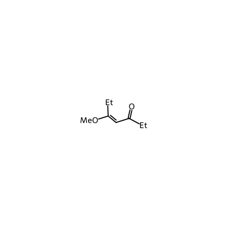 CCC(=O)/C=C(\CC)OC